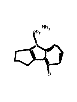 CCCn1c2c(c3c(Cl)cccc31)CCC2.N